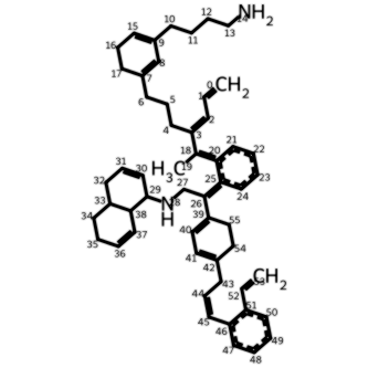 C=C/C=C(CCCC1=CC(CCCCN)=CCC1)/C(C)=c1\cccc\c1=C(\CNC1C=CCC2CCC=CC21)C1=CC=C(C/C=C\c2ccccc2C=C)CC1